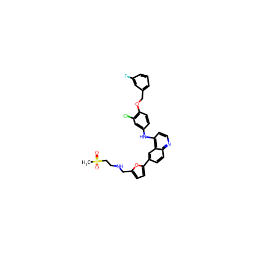 CS(=O)(=O)CCNCc1ccc(-c2ccc3nccc(Nc4ccc(OCc5cccc(F)c5)c(Cl)c4)c3c2)o1